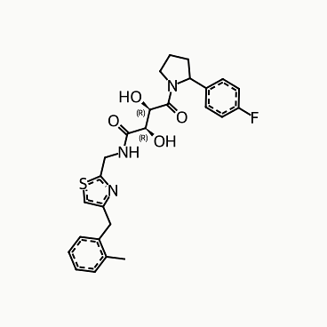 Cc1ccccc1Cc1csc(CNC(=O)[C@H](O)[C@@H](O)C(=O)N2CCCC2c2ccc(F)cc2)n1